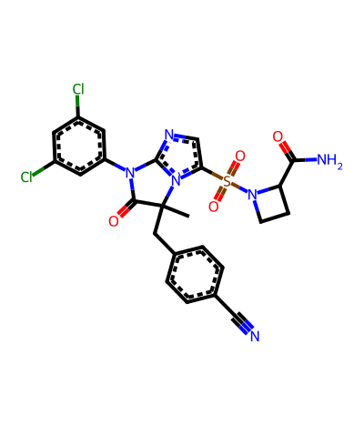 CC1(Cc2ccc(C#N)cc2)C(=O)N(c2cc(Cl)cc(Cl)c2)c2ncc(S(=O)(=O)N3CCC3C(N)=O)n21